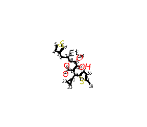 CCC(Cc1ccsc1)C1OC(=O)C(C(c2ccc(C)s2)C2CC2)=C(O)C1=O